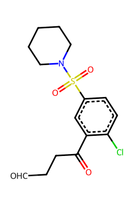 O=CCCC(=O)c1cc(S(=O)(=O)N2CCCCC2)ccc1Cl